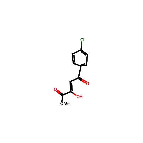 COC(=O)C(O)=CC(=O)c1ccc(Cl)cc1